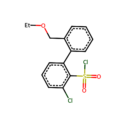 CCOCc1ccccc1-c1cccc(Cl)c1S(=O)(=O)Cl